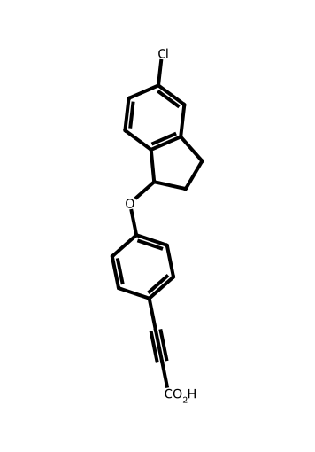 O=C(O)C#Cc1ccc(OC2CCc3cc(Cl)ccc32)cc1